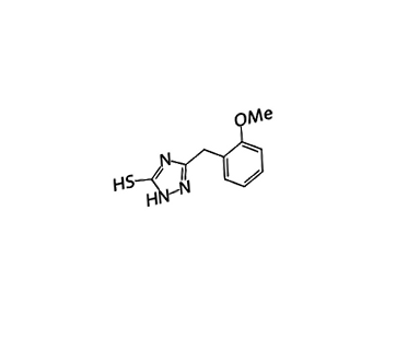 COc1ccccc1Cc1n[nH]c(S)n1